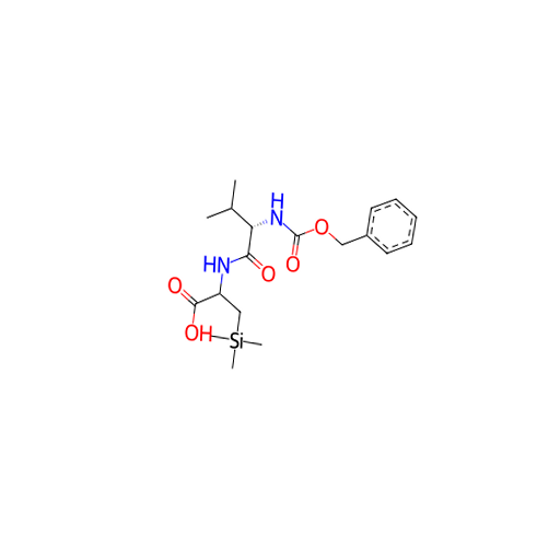 CC(C)[C@H](NC(=O)OCc1ccccc1)C(=O)NC(C[Si](C)(C)C)C(=O)O